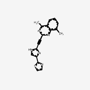 Cc1nc(C#Cc2nc(-c3nccs3)c[nH]2)nc2c(C)cccc12